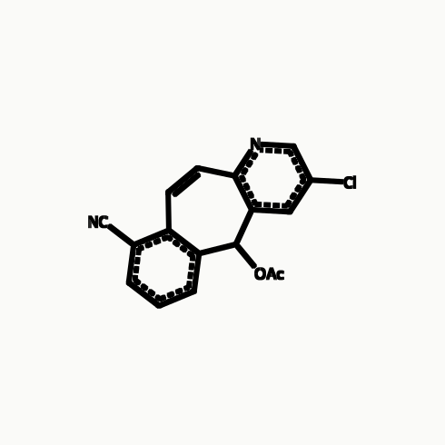 CC(=O)OC1c2cc(Cl)cnc2C=Cc2c(C#N)cccc21